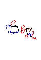 NC(=O)CC[C@H](N)C(=O)OC(CS)C(=O)NCC(=O)O